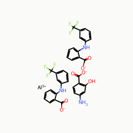 Nc1ccc(C(=O)[O-])c(O)c1.O=C([O-])c1ccccc1Nc1cccc(C(F)(F)F)c1.O=C([O-])c1ccccc1Nc1cccc(C(F)(F)F)c1.[Al+3]